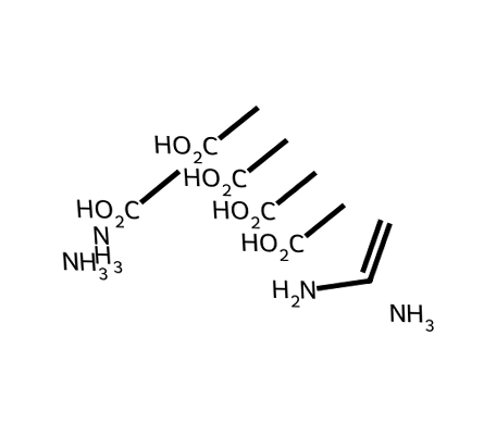 C=CN.CC(=O)O.CC(=O)O.CC(=O)O.CC(=O)O.CC(=O)O.N.N.N